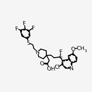 COc1ccc2ncc(Cl)c([C@H](F)CCC3(CC(=O)O)CCN(CCSc4cc(F)c(F)c(F)c4)CC3)c2c1